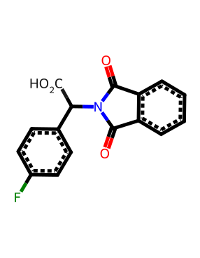 O=C(O)C(c1ccc(F)cc1)N1C(=O)c2ccccc2C1=O